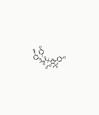 C[C@H](NC(=O)C(C)(C)c1nn(-c2ccc(Cl)cc2)c(C(F)(F)F)c1OC=O)[C@@H](Cc1ccc(Cl)cc1)c1cccc(C#N)c1